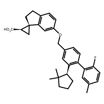 Cc1ccc(F)c(-c2ccc(COc3ccc4c(c3)[C@]3(CC4)C[C@H]3C(=O)O)cc2[C@H]2CCCC2(C)C)c1